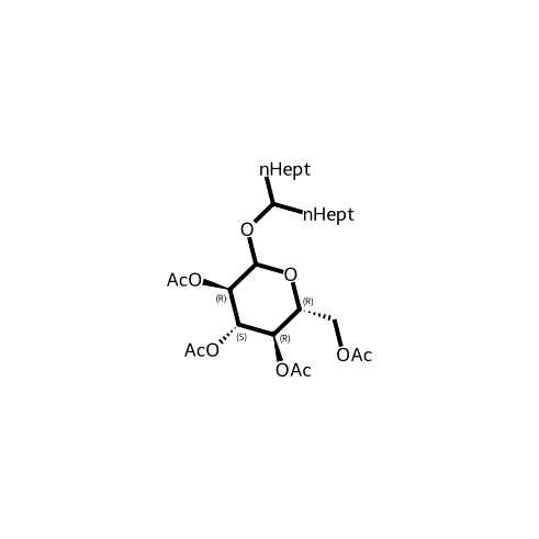 CCCCCCCC(CCCCCCC)OC1O[C@H](COC(C)=O)[C@@H](OC(C)=O)[C@H](OC(C)=O)[C@H]1OC(C)=O